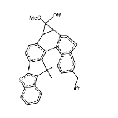 COC1(O)C2c3ccc4c(c3-c3c(ccc5cc(CC(C)C)ccc35)C21)C(C)(C)c1c-4sc2ccccc12